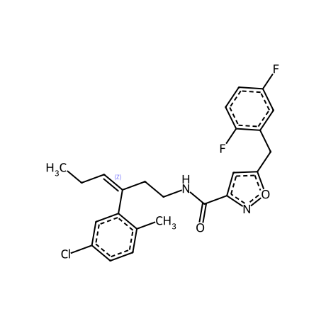 CC/C=C(/CCNC(=O)c1cc(Cc2cc(F)ccc2F)on1)c1cc(Cl)ccc1C